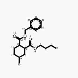 CCCCOC(=O)C1CC(C)CCC1C(=O)OCc1ccccc1